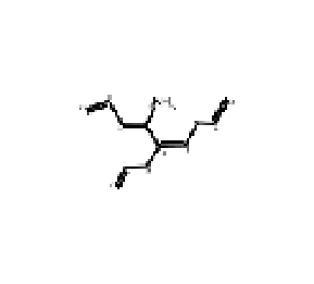 C=CCC=C(CC=C)[C](N)CC=C